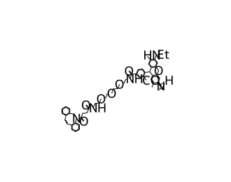 CCNc1cc2c(cc1C)C(c1ccc(C(=O)NCCOCCOCCOCCNC(=O)CCC(=O)N3Cc4ccccc4/C=C\c4ccccc43)cc1C(=O)O)C1C=C(C)/C(=N\C)C=C1O2